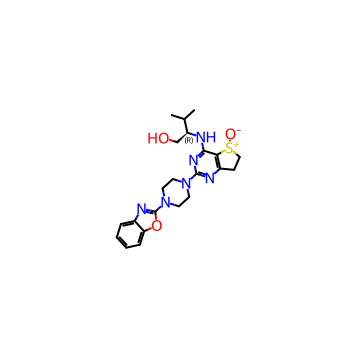 CC(C)[C@H](CO)Nc1nc(N2CCN(c3nc4ccccc4o3)CC2)nc2c1[S+]([O-])CC2